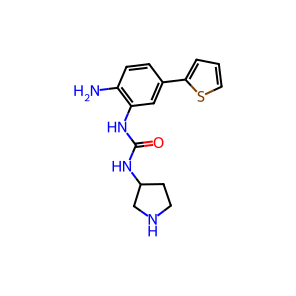 Nc1ccc(-c2cccs2)cc1NC(=O)NC1CCNC1